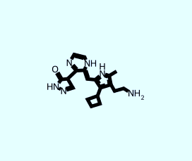 Cc1[nH]c(C=C2NC=CN=C2C2C=NNC2=O)c(C2CCC2)c1CCN